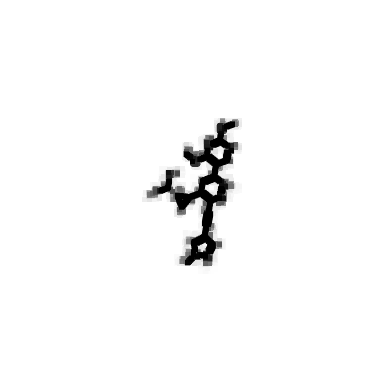 COc1ncc(-c2cc(C3C[C@@H]3C(F)F)c(C#Cc3cnn(C)c3)nn2)c(OC)n1